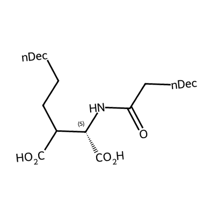 CCCCCCCCCCCCC(C(=O)O)[C@H](NC(=O)CCCCCCCCCCC)C(=O)O